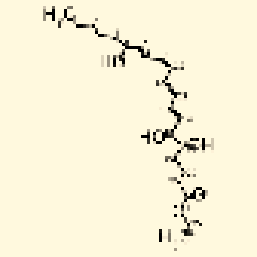 CCCCC[C@H](O)/C=C/C=C\C=C\C=C\[C@@H](O)[C@@H](O)CCCC(=O)OCC